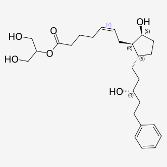 O=C(CCC/C=C\C[C@@H]1[C@@H](CC[C@@H](O)CCc2ccccc2)CC[C@@H]1O)OC(CO)CO